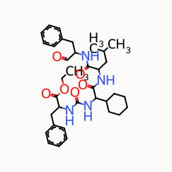 CCOC(=O)C(Cc1ccccc1)NC(=O)NC(C(=O)NC(CC(C)C)C(=O)NC(C=O)Cc1ccccc1)C1CCCCC1